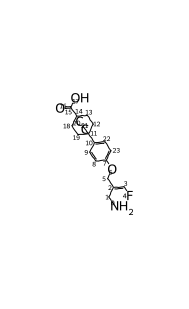 NCC(=CF)COc1ccc(C23CCC(C(=O)O)(CC2)CC3)cc1